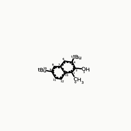 Cc1c(O)c(C(C)(C)C)cc2cc(C(C)(C)C)ccc12